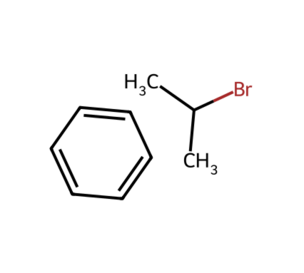 CC(C)Br.c1ccccc1